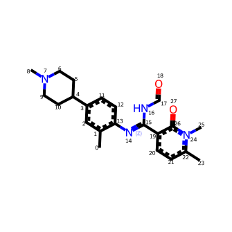 Cc1cc(C2CCN(C)CC2)ccc1/N=C(\NC=O)c1ccc(C)n(C)c1=O